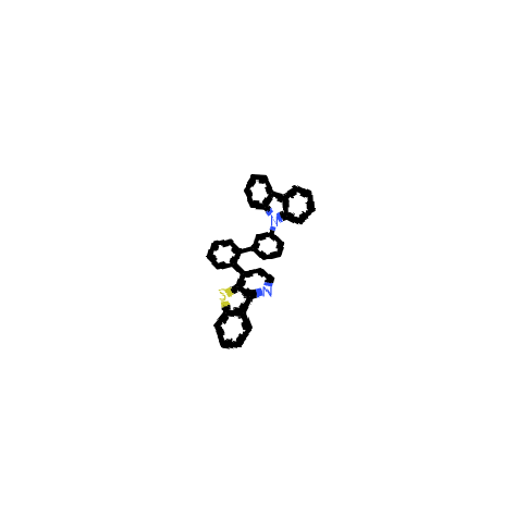 c1cc(-c2ccccc2-c2ccnc3c2sc2ccccc23)cc(-n2c3ccccc3c3ccccc32)c1